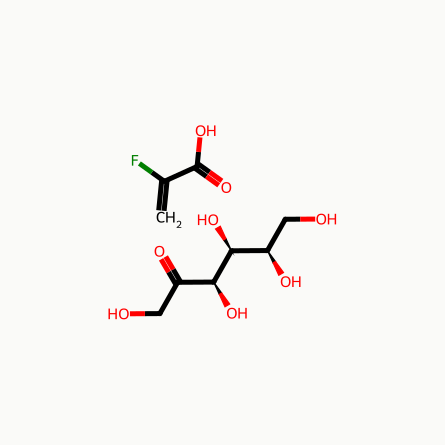 C=C(F)C(=O)O.O=C(CO)[C@H](O)[C@@H](O)[C@H](O)CO